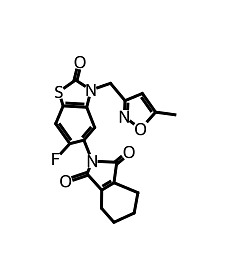 Cc1cc(Cn2c(=O)sc3cc(F)c(N4C(=O)C5=C(CCCC5)C4=O)cc32)no1